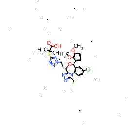 COc1cccc([C@@H]2O[C@@H](CCn3nnc(SC(C)(C)C(=O)O)n3)c3nnc(CF)n3-c3ccc(Cl)cc32)c1OC